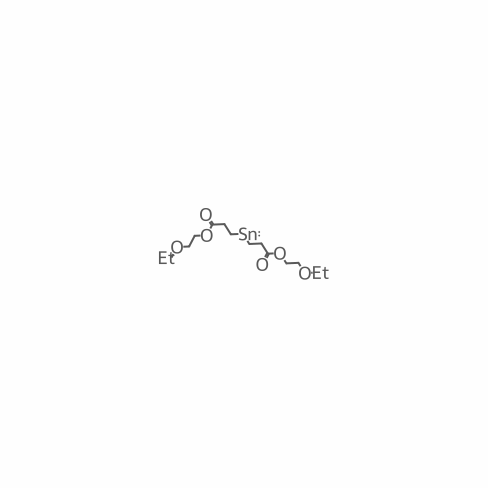 CCOCCOC(=O)C[CH2][Sn][CH2]CC(=O)OCCOCC